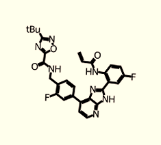 C=CC(=O)Nc1ccc(F)cc1-c1nc2c(-c3ccc(CNC(=O)c4nc(C(C)(C)C)no4)c(F)c3)ccnc2[nH]1